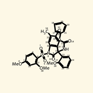 COc1ccc(S(=O)(=O)N2C(=O)C(NC(=O)Oc3ccccc3)(c3ccccc3OC)c3cc(Cl)c(C)cc32)c(OC)c1